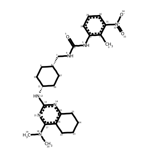 Cc1c(NC(=O)NC[C@H]2CC[C@@H](Nc3nc4c(c(N(C)C)n3)CCCC4)CC2)cccc1[N+](=O)[O-]